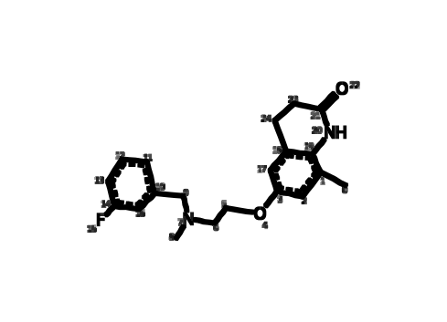 Cc1cc(OCCN(C)Cc2cccc(F)c2)cc2c1NC(=O)CC2